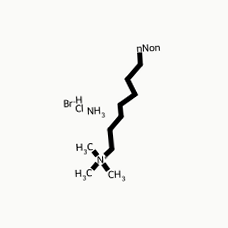 CCCCCCCCCCCCCCCC[N+](C)(C)C.Cl.N.[Br-]